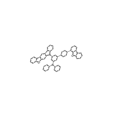 c1ccc(N(c2ccccc2)c2cc(-c3ccc(-c4cccc5c4oc4ccccc45)cc3)cc(-n3c4ccccc4c4cc5c(cc43)oc3ccccc35)c2)cc1